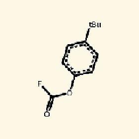 CC(C)(C)c1ccc(OC(=O)F)cc1